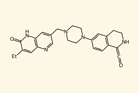 CCc1cc2ncc(CN3CCN(c4ccc5c(c4)CCNC5=C=O)CC3)cc2[nH]c1=O